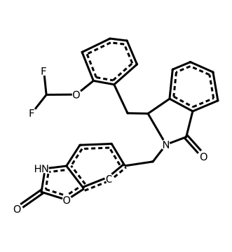 O=C1c2ccccc2C(Cc2ccccc2OC(F)F)N1Cc1ccc2[nH]c(=O)oc2c1